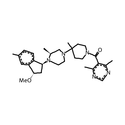 CO[C@H]1C[C@H](N2CCN(C3(C)CCN(C(=O)c4c(C)ncnc4C)CC3)C[C@@H]2C)c2ccc(C)cc21